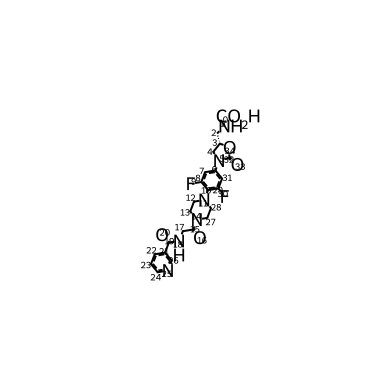 O=C(O)NC[C@H]1CN(c2cc(F)c(N3CCN(C(=O)CNC(=O)c4cccnc4)CC3)c(F)c2)C(=O)O1